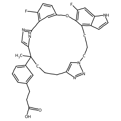 CC1(c2cccc(CCC(=O)O)c2)CCCc2cn(nn2)CCCc2c(c(F)cc3[nH]ccc23)Oc2ccc(F)c(c2)-c2ncc1[nH]2